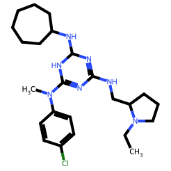 CCN1CCCC1CNC1=NC(NC2CCCCCC2)NC(N(C)c2ccc(Cl)cc2)=N1